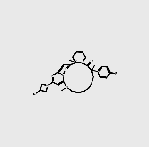 CN1CCCCOCC(C)(c2ccc(F)cc2)C(=O)N2CCCC[C@H]2c2cc3nc(N4CC(O)C4)cc1n3n2